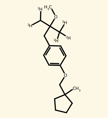 [2H]C([2H])C(Cc1ccc(OCC2(C)CCCC2)cc1)(OC)C([2H])([2H])[2H]